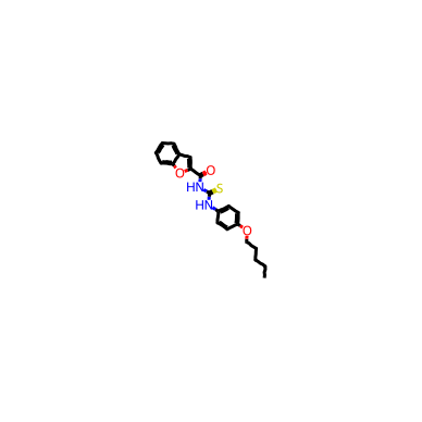 CCCCCOc1ccc(NC(=S)NC(=O)c2cc3ccccc3o2)cc1